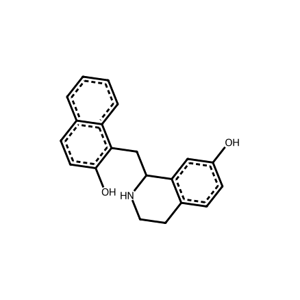 Oc1ccc2c(c1)C(Cc1c(O)ccc3ccccc13)NCC2